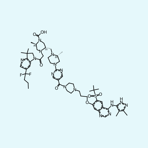 CCCC(F)(F)c1cnc2c(c1)N(C(=O)CN1C[C@@H](C)N(C(=O)O)C[C@@H]1CN1CCN(c3ncc(C(=O)N4CCN(CCCOc5cc6ncnc(Nc7[nH]nc(C)c7C)c6cc5S(=O)(=O)C(C)(C)C)CC4)cn3)C[C@H]1C)CC2(C)C